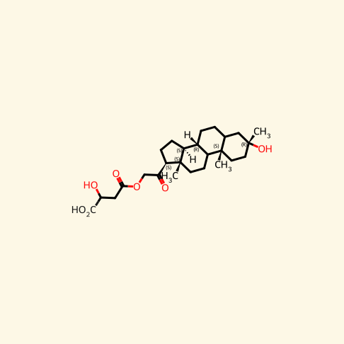 C[C@@]1(O)CC[C@@]2(C)C(CC[C@@H]3C2CC[C@]2(C)[C@@H](C(=O)COC(=O)CC(O)C(=O)O)CC[C@@H]32)C1